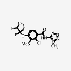 CSc1c(OC(F)(F)C(F)C(F)(F)F)ccc(C(=O)Nc2nnnn2C)c1Cl